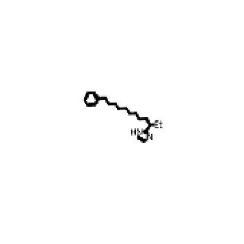 [CH2]CC(CCCCCCCCCc1ccccc1)c1ncc[nH]1